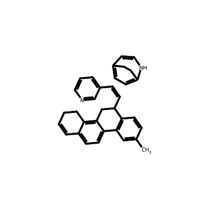 C1=CC2=CC=C(CC2)N1.Cc1ccc2c(c1)-c1ccc3c(c1CC2/C=C\c1cccnc1)CCC=C3